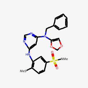 CNS(=O)(=O)c1ccc(SC)c(Nc2cc(N(Cc3ccccc3)C3=COCO3)ncn2)c1